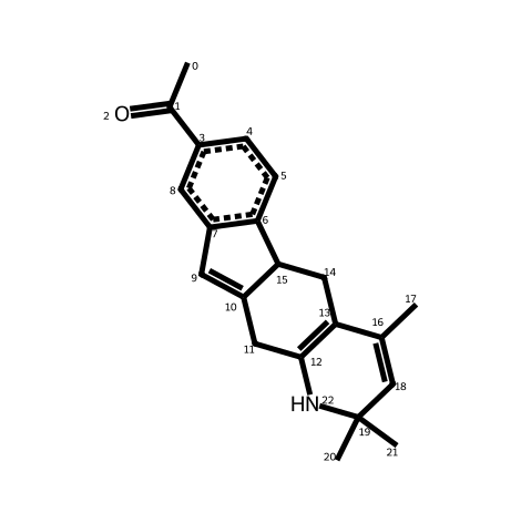 CC(=O)c1ccc2c(c1)C=C1CC3=C(CC12)C(C)=CC(C)(C)N3